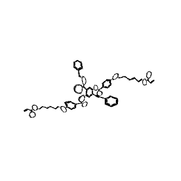 C=CC(=O)OCCCCCCOc1ccc(C(=O)Oc2cc(C(=O)OCc3ccccc3)c(OC(=O)c3ccc(OCCCCCCOC(=O)C=C)cc3)cc2C#Cc2ccccc2)cc1